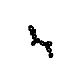 c1ccc(-c2ccc(-n3c4ccccc4c4cc(-c5ccc6c(c5)c5ccccc5n6-c5ccc(-c6nc7ccccc7s6)cc5)ccc43)cc2)cc1